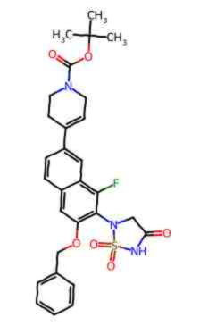 CC(C)(C)OC(=O)N1CC=C(c2ccc3cc(OCc4ccccc4)c(N4CC(=O)NS4(=O)=O)c(F)c3c2)CC1